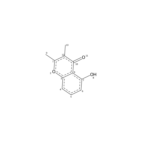 Cc1oc2cccc(O)c2c(=O)c1C